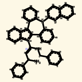 NC(/C=C(\NCc1ccccc1)n1c2c(c3ccccc31)-c1ccccc1N(c1ccc3ccccc3n1)c1ccccc1-2)c1ccccc1